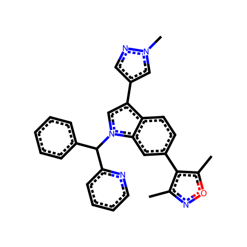 Cc1noc(C)c1-c1ccc2c(-c3cnn(C)c3)cn(C(c3ccccc3)c3ccccn3)c2c1